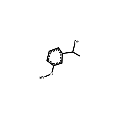 CCCOc1cccc(C(C)O)c1